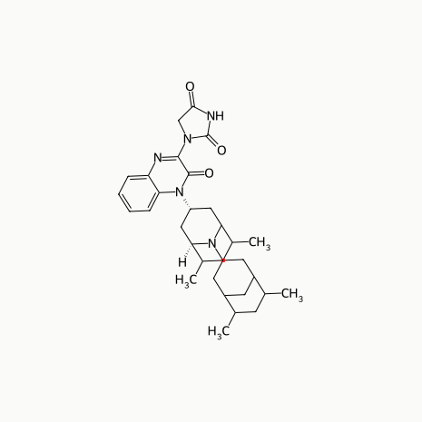 CC1CC(C)C2CC1CC(N1C3C[C@@H](n4c(=O)c(N5CC(=O)NC5=O)nc5ccccc54)C[C@@H]1C(C)CC3C)C2